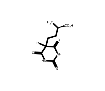 CCC1(CC[C@@H](C)C(=O)O)C(=O)NC(=S)NC1=O